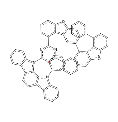 c1ccc(-c2nc(-c3cccc4oc5ccc(-c6cccc7oc8cccc(-c9ccccc9)c8c67)cc5c34)nc(-n3c4ccccc4c4ccc5c6ccccc6n(-c6ccccc6)c5c43)n2)cc1